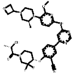 COc1nc(Nc2cc(-c3ccc(O[C@H]4CCN(C(=O)[C@H](C)O)CC4(F)F)c(C#N)c3)ncn2)ccc1N1CCN(C2COC2)C[C@@H]1C